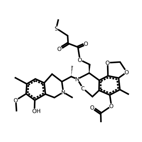 COc1c(C)cc2c(c1O)CN(C)C([C@H](C)N1CCc3c(OC(C)=O)c(C)c4c(c3[C@@H]1COC(=O)C(=O)CSC)OCO4)C2